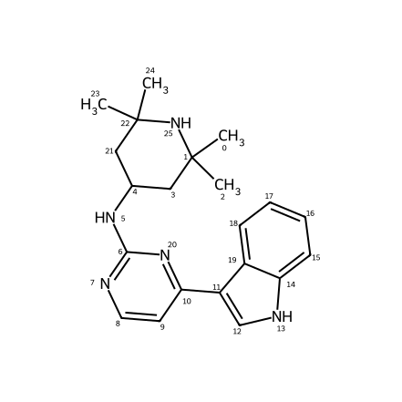 CC1(C)CC(Nc2nccc(-c3c[nH]c4ccccc34)n2)CC(C)(C)N1